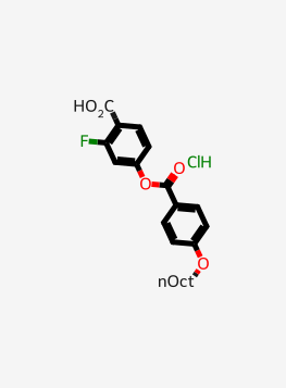 CCCCCCCCOc1ccc(C(=O)Oc2ccc(C(=O)O)c(F)c2)cc1.Cl